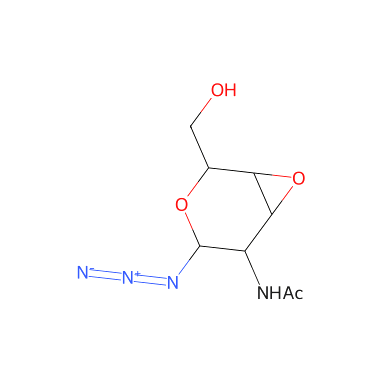 CC(=O)NC1C(N=[N+]=[N-])OC(CO)C2OC12